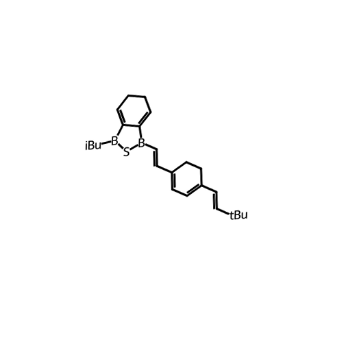 CCC(C)B1SB(/C=C/C2=CC=C(/C=C/C(C)(C)C)CC2)C2=CCCC=C12